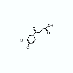 O=C(O)CCC(=O)c1ccc(Cl)c(Cl)c1